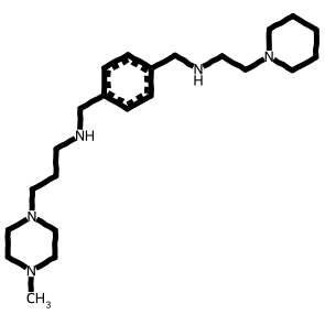 CN1CCN(CCCNCc2ccc(CNCCN3CCCCC3)cc2)CC1